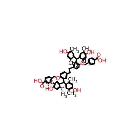 Cc1cc(C(c2cc(C)c(O)cc2C)c2cc(CCc3ccc(OCc4ccc(C(=O)O)cc4)c(C(c4cc(C)c(O)cc4C)c4cc(C)c(O)cc4C)c3)ccc2OCc2ccc(C(=O)O)cc2)c(C)cc1O